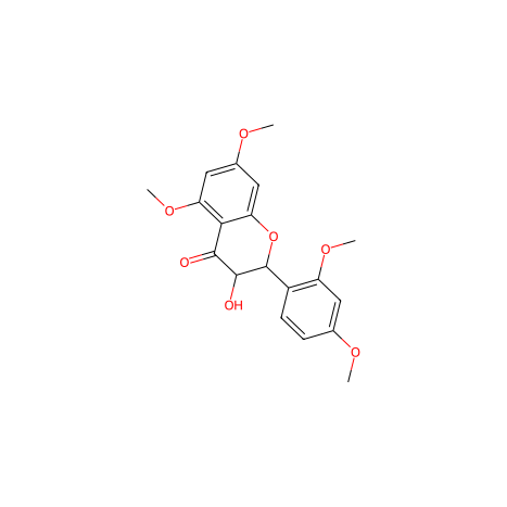 COc1ccc(C2Oc3cc(OC)cc(OC)c3C(=O)C2O)c(OC)c1